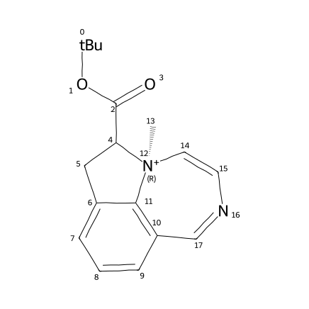 CC(C)(C)OC(=O)C1Cc2cccc3c2[N@+]1(C)C=CN=C3